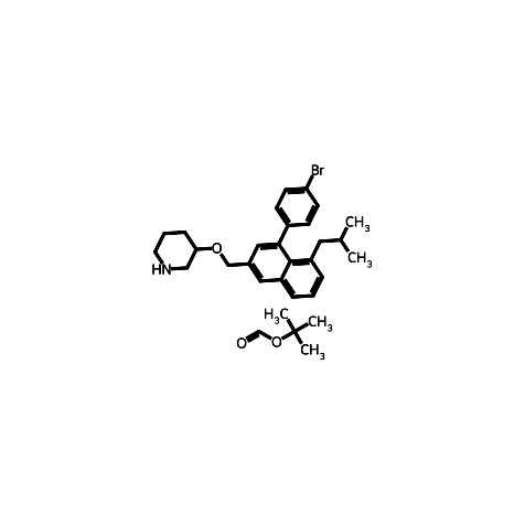 CC(C)(C)OC=O.CC(C)Cc1cccc2cc(COC3CCCNC3)cc(-c3ccc(Br)cc3)c12